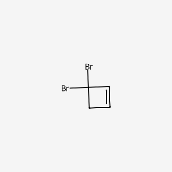 BrC1(Br)C=CC1